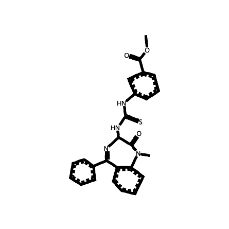 COC(=O)c1cccc(NC(=S)NC2N=C(c3ccccc3)c3ccccc3N(C)C2=O)c1